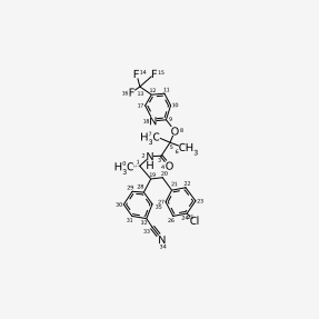 C[C@H](NC(=O)C(C)(C)Oc1ccc(C(F)(F)F)cn1)C(Cc1ccc(Cl)cc1)c1cccc(C#N)c1